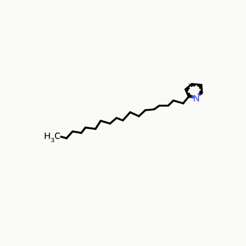 CCCCCCCCCCCCCCCCCCc1c[c]ccn1